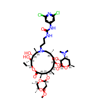 CC[C@H]1OC(=O)[C@H](C)[C@@H](O[C@@H](CCOC)O[C@@H](C)[C@@H](C)O)[C@H](C)[C@@H](O[C@@H]2O[C@H](C)C[C@H](N(C)C)[C@H]2O)[C@](C)(O)C[C@@H](C)CN(CCCNC(=O)Nc2cc(Cl)nc(Cl)c2)[C@H](C)[C@@H](O)[C@]1(C)O